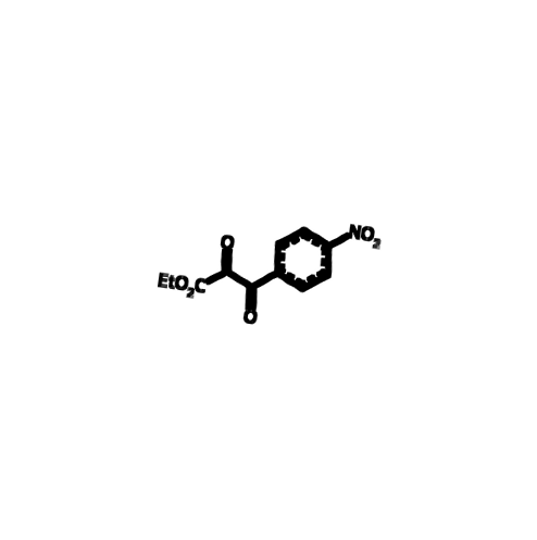 CCOC(=O)C(=O)C(=O)c1ccc([N+](=O)[O-])cc1